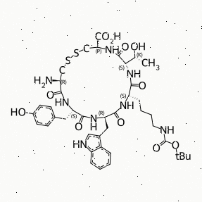 C[C@@H](O)[C@@H]1NC(=O)[C@H](CCCCNC(=O)OC(C)(C)C)NC(=O)[C@@H](Cc2c[nH]c3ccccc23)NC(=O)[C@H](Cc2ccc(O)cc2)NC(=O)[C@@H](N)CSSC[C@@H](C(=O)O)NC1=O